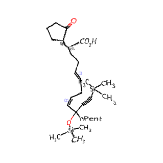 CCCCCC(C#C[Si](C)(C)C)(/C=C\C/C=C/CC[C@H](C(=O)O)[C@H]1CCCC1=O)O[Si](C)(C)C